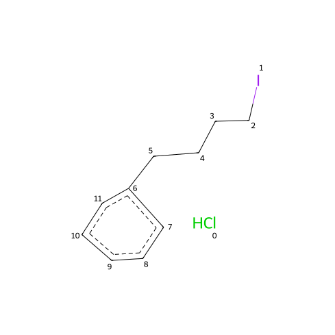 Cl.ICCCCc1ccccc1